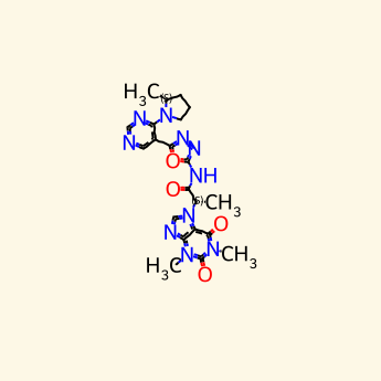 C[C@H]1CCCN1c1ncncc1-c1nnc(NC(=O)[C@H](C)n2cnc3c2c(=O)n(C)c(=O)n3C)o1